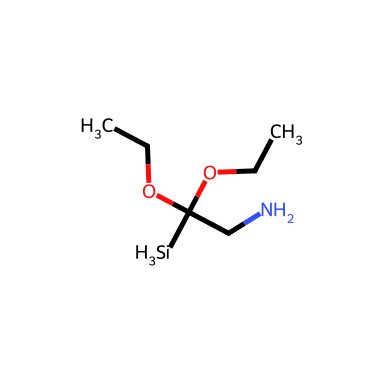 CCOC([SiH3])(CN)OCC